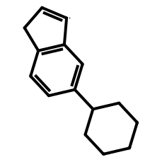 [C]1=CCc2ccc(C3CCCCC3)cc21